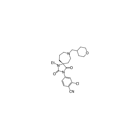 CCN1C(=O)N(c2ccc(C#N)c(Cl)c2)C(=O)[C@]12CCCN(CC1CCOCC1)CC2